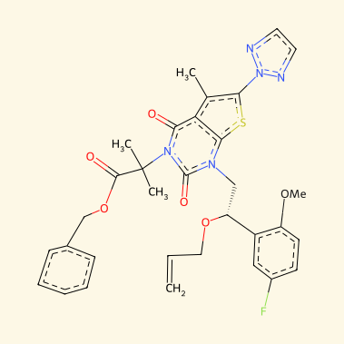 C=CCO[C@H](Cn1c(=O)n(C(C)(C)C(=O)OCc2ccccc2)c(=O)c2c(C)c(-n3nccn3)sc21)c1cc(F)ccc1OC